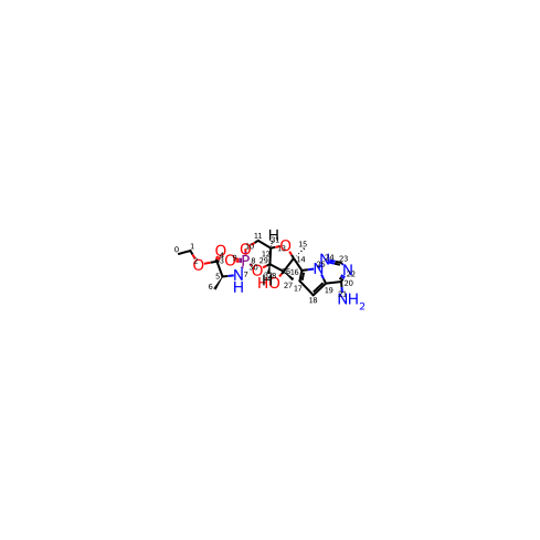 CCOC(=O)[C@H](C)NP1(=O)OC[C@H]2O[C@@](C)(c3ccc4c(N)ncnn34)[C@](C)(O)[C@@H]2O1